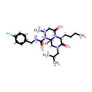 CCCC[C@H]1C(=O)N(CC(C)C)C[C@H]2N1C(=O)CN(C)N2C(=O)NCc1ccc(F)cc1